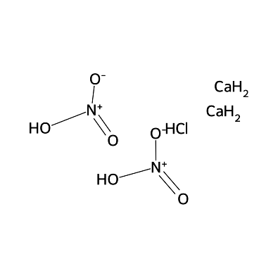 Cl.O=[N+]([O-])O.O=[N+]([O-])O.[CaH2].[CaH2]